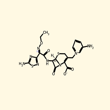 CCO/N=C(\C(=O)NC1C(=O)N2C(C(=O)[O-])=C(C[n+]3cccc(N)c3)CS[C@H]12)c1nsc(N)n1